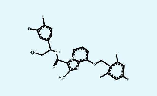 Cc1nc2c(OCc3c(F)cc(F)cc3F)cccn2c1C(=O)NC(CN)c1ccc(F)c(F)c1